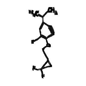 CC(C)c1ccc(OCC2CC2(F)F)c(I)c1